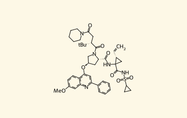 C=C[C@@H]1CC1(NC(=O)[C@@H]1C[C@@H](Oc2cc(-c3ccccc3)nc3cc(OC)ccc23)CN1C(=O)[C@@H](CC(=O)N1CCCCC1)C(C)(C)C)C(=O)NS(=O)(=O)C1CC1